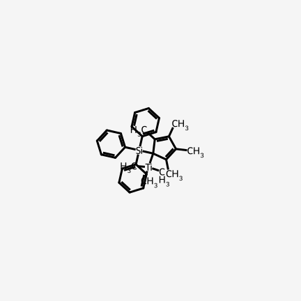 CC1=C(C)[C]([Si](c2ccccc2)(c2ccccc2)c2ccccc2)([Ti]([CH3])([CH3])[CH3])C(C)=C1C